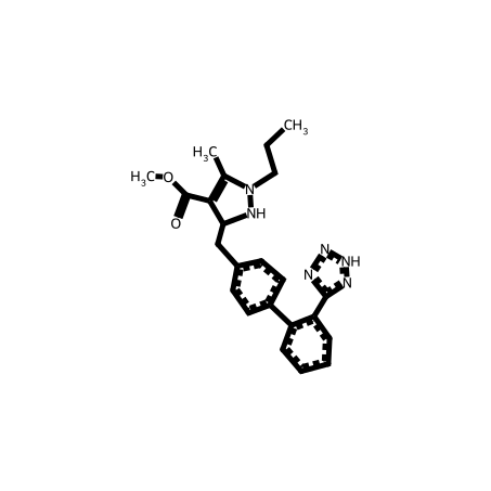 CCCN1NC(Cc2ccc(-c3ccccc3-c3nn[nH]n3)cc2)C(C(=O)OC)=C1C